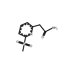 CS(=O)(=O)c1cccc([CH]C(N)=O)n1